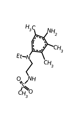 CCN(CCNS(C)(=O)=O)c1cc(C)c(N)c(C)c1C